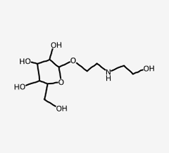 OCCNCCOC1OC(CO)C(O)C(O)C1O